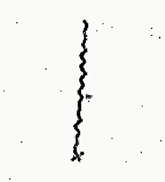 CCCCCCCCCCCCCCCCCCCCCCC[N+](C)(C)C.[Br-]